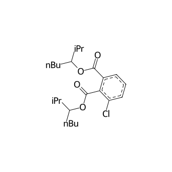 CCCCC(OC(=O)c1cccc(Cl)c1C(=O)OC(CCCC)C(C)C)C(C)C